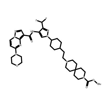 CC(C)(C)OC(=O)N1CCC2(CCN(CCC3CCC(n4cc(NC(=O)c5cnn6ccc(N7CCOCC7)nc56)c(C(F)F)n4)CC3)CC2)CC1